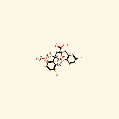 COc1ccc(F)cc1CC(O)(CC(C)(C)c1cc(F)ccc1OC)C(=O)O